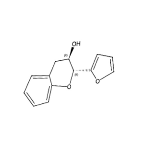 O[C@@H]1Cc2ccccc2O[C@H]1c1ccco1